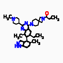 C=CC(=O)N1CC2(CCN(c3nc(C4CCN(C)CC4)nc4c(C)c(-c5c(C)ccc6[nH]ncc56)c(C=C)cc34)CC2)C1